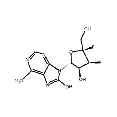 Nc1ncnc2c1nc(O)n2[C@@H]1O[C@](F)(CO)[C@@H](F)[C@H]1O